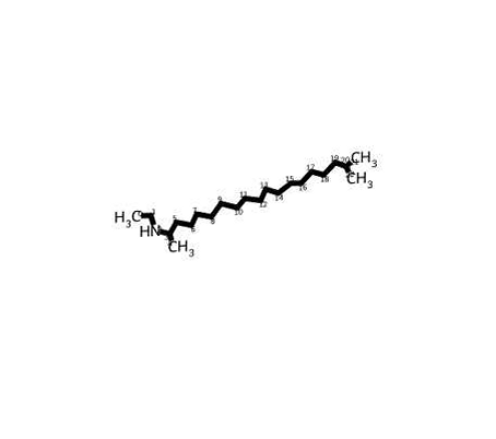 CCNC(C)CCCCCCCCCCCCCCCC(C)C